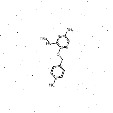 CCCCNc1nc(N)cnc1OCc1ccc(C#N)cc1